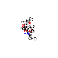 CC[Si](=O)C[Si](C)(C)O[Si](C)(C)O[Si](C)(NCC=O)O[Si](C)(C)C